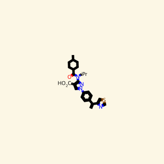 C=C(c1ccc(-n2cc(C(=O)O)c(N(C(=O)C3CCC(C)CC3)C(C)C)n2)cc1)c1cscn1